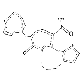 O=C(O)c1cc(-c2ccccc2)c(=O)n2c1-c1sccc1CC2